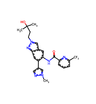 Cn1cc(-c2cc3nn(CCC(C)(C)O)cc3cc2NC(=O)c2cccc(C(F)(F)F)n2)cn1